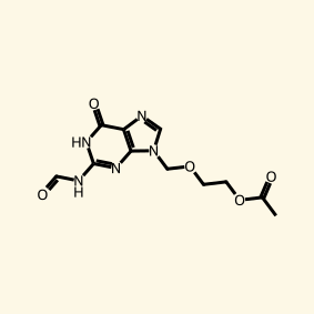 CC(=O)OCCOCn1cnc2c(=O)[nH]c(NC=O)nc21